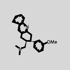 COc1cccc([C@H]2Cc3nc4ccccc4cc3C[C@@H]2CN(C)C)c1